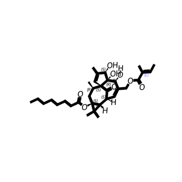 C/C=C(\C)C(=O)OCC1=C[C@@H]2C(=O)[C@]3(C=C(C)[C@H](O)[C@@]3(O)[C@@H]1O)[C@H](C)C[C@]1(OC(=O)CCCCCCC)[C@H]2C1(C)C